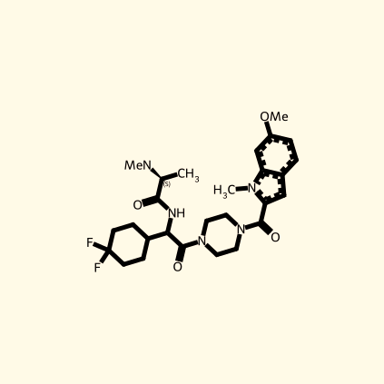 CN[C@@H](C)C(=O)NC(C(=O)N1CCN(C(=O)c2cc3ccc(OC)cc3n2C)CC1)C1CCC(F)(F)CC1